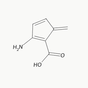 C=C1C=CC(N)=C1C(=O)O